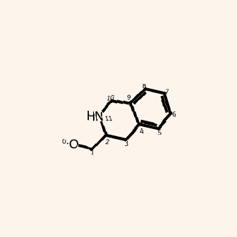 [O]CC1Cc2ccccc2CN1